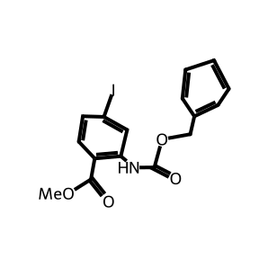 COC(=O)c1ccc(I)cc1NC(=O)OCc1ccccc1